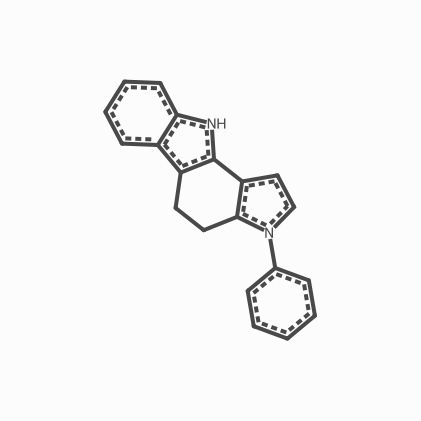 c1ccc(-n2ccc3c2CCc2c-3[nH]c3ccccc23)cc1